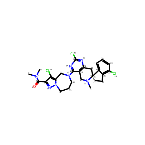 CN(C)C(=O)c1nn2c(c1Cl)CN(c1nc(Cl)nc3c1CN(C)[C@@]1(CCc4c(Cl)cccc41)C3)CCC2